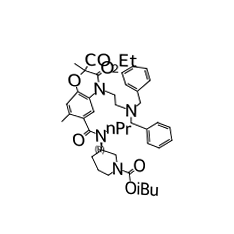 CCCN(C(=O)c1cc2c(cc1C)OC(C)(C(=O)OCC)C(=O)N2CCN(Cc1ccccc1)Cc1ccccc1)[C@@H]1CCCN(C(=O)OCC(C)C)C1